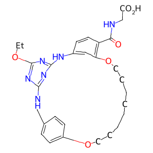 CCOc1nc2nc(n1)Nc1ccc(C(=O)NCC(=O)O)c(c1)OCCCCCCCCOc1ccc(cc1)CN2